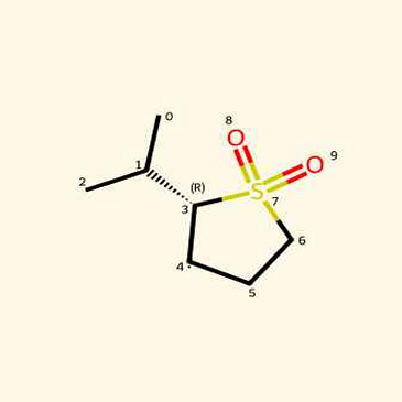 CC(C)[C@H]1[CH]CCS1(=O)=O